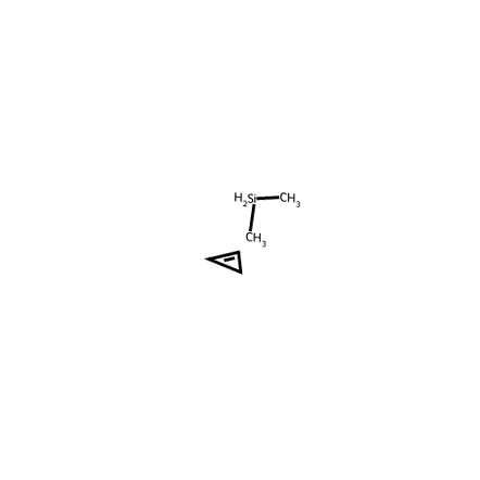 C1=CC1.C[SiH2]C